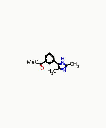 COC(=O)c1cccc(-c2[nH]c(C)nc2C)c1